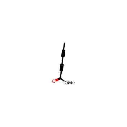 CC#CC#CC(=O)OC